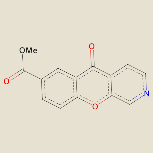 COC(=O)c1ccc2oc3cnccc3c(=O)c2c1